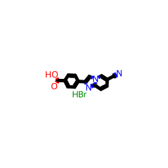 Br.N#Cc1ccc2nc(-c3ccc(C(=O)O)cc3)cn2c1